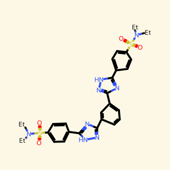 CCN(CC)S(=O)(=O)c1ccc(-c2nc(-c3cccc(-c4n[nH]c(-c5ccc(S(=O)(=O)N(CC)CC)cc5)n4)c3)n[nH]2)cc1